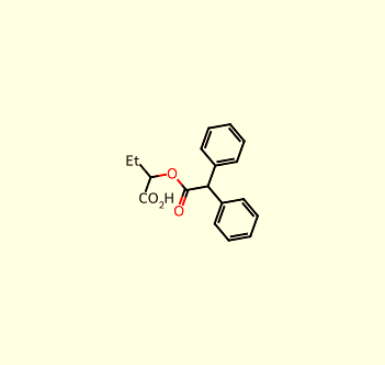 CCC(OC(=O)C(c1ccccc1)c1ccccc1)C(=O)O